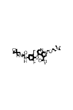 COC(=O)c1cn(COCC[Si](C)(C)C)c2nccc(Oc3c(F)cc(NC(=O)NCC4(C)COC4)cc3F)c12